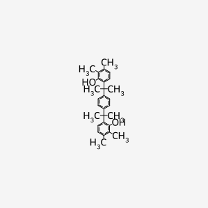 Cc1ccc(C(C)(C)c2ccc(C(C)(C)c3ccc(C)c(C)c3O)cc2)c(O)c1C